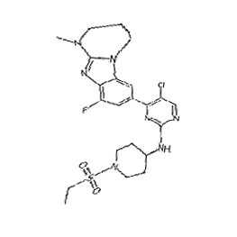 CCS(=O)(=O)N1CCC(Nc2ncc(Cl)c(-c3cc(F)c4nc5n(c4c3)CCCN5C)n2)CC1